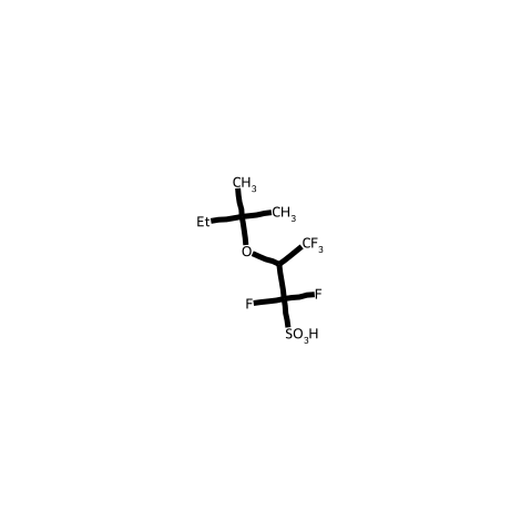 CCC(C)(C)OC(C(F)(F)F)C(F)(F)S(=O)(=O)O